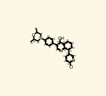 CC1CN(c2ccc(-c3cnc4c(-c5ccc(Cl)nc5)cccc4c3O)cc2)CC(C)O1